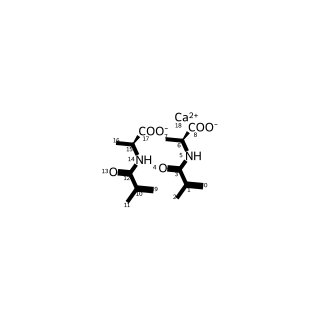 C=C(C)C(=O)N[C@@H](C)C(=O)[O-].C=C(C)C(=O)N[C@@H](C)C(=O)[O-].[Ca+2]